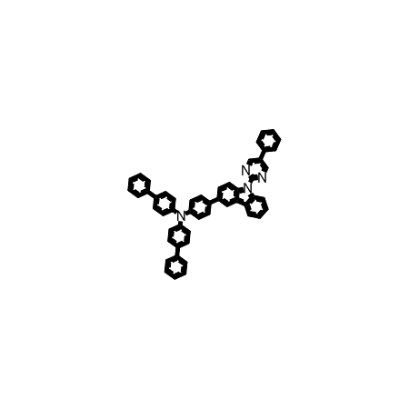 c1ccc(-c2ccc(N(c3ccc(-c4ccccc4)cc3)c3ccc(-c4ccc5c(c4)c4ccccc4n5-c4ncc(-c5ccccc5)cn4)cc3)cc2)cc1